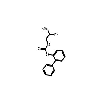 CCCCC(CC)COC(=O)Oc1ccccc1-c1ccccc1